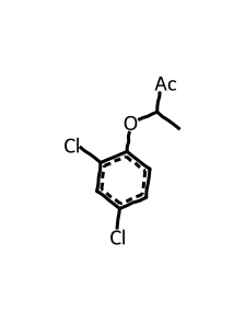 CC(=O)C(C)Oc1ccc(Cl)cc1Cl